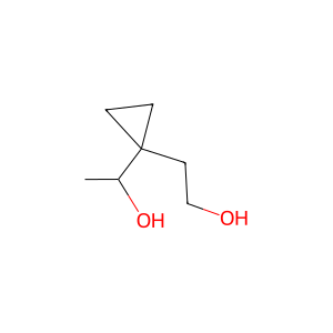 CC(O)C1(CCO)CC1